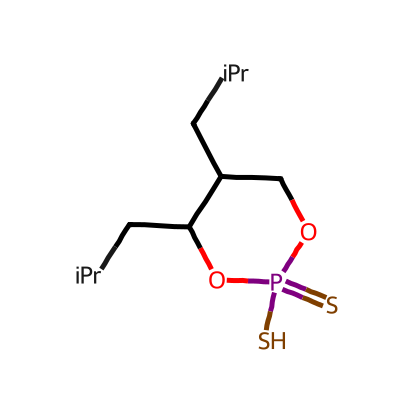 CC(C)CC1COP(=S)(S)OC1CC(C)C